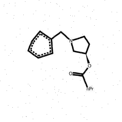 CCCC(=O)O[C@@H]1CCN(Cc2ccccc2)C1